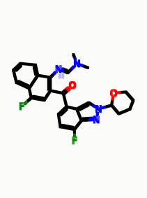 CN(C)/C=N/c1c(C(=O)c2ccc(F)c3nn(C4CCCCO4)cc23)cc(F)c2ccccc12